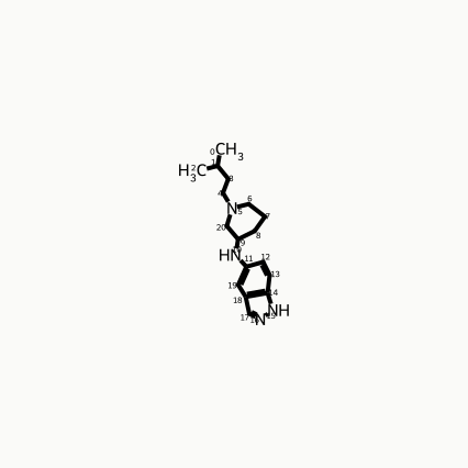 CC(C)CCN1CCCC(Nc2ccc3[nH]ncc3c2)C1